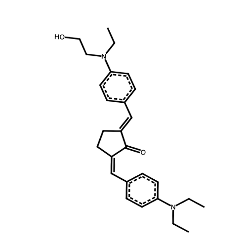 CCN(CC)c1ccc(/C=C2/CC/C(=C\c3ccc(N(CC)CCO)cc3)C2=O)cc1